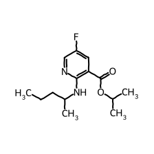 CCCC(C)Nc1ncc(F)cc1C(=O)OC(C)C